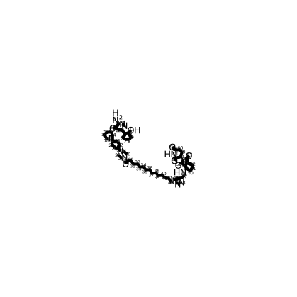 Nc1nnc(-c2ccccc2O)cc1OC1CCCN(c2ccc(N3CCN(C(=O)CCCCCCCCCCCCCCn4cc(CNc5cccc6c5C(=O)N(C5CCC(=O)NC5=O)C6=O)nn4)CC3)cc2)C1